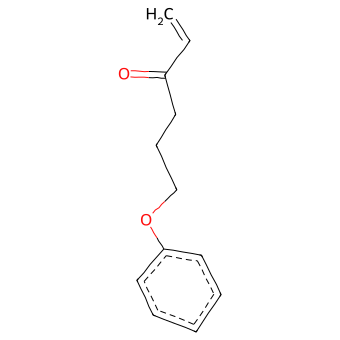 C=CC(=O)CCCOc1ccccc1